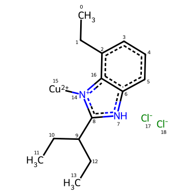 CCc1cccc2[nH]c(C(CC)CC)[n+]([Cu+2])c12.[Cl-].[Cl-]